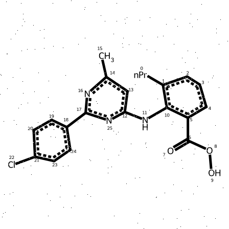 CCCc1cccc(C(=O)OO)c1Nc1cc(C)nc(-c2ccc(Cl)cc2)n1